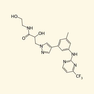 Cc1cc(Nc2nccc(C(F)(F)F)n2)cc(-c2cnn(CC(O)C(=O)NCCO)c2)c1